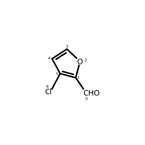 O=Cc1occc1Cl